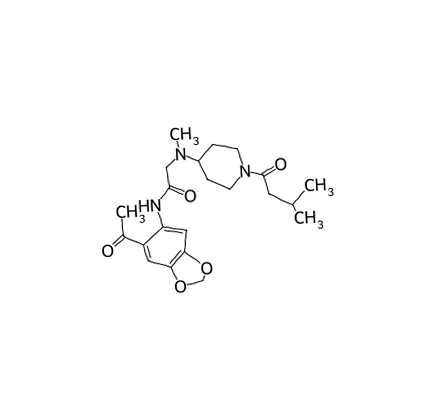 CC(=O)c1cc2c(cc1NC(=O)CN(C)C1CCN(C(=O)CC(C)C)CC1)OCO2